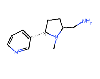 CN1C(CN)CC[C@H]1c1cccnc1